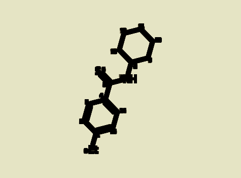 CCc1ccc(C(=S)NC2CCCCC2)cc1